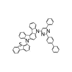 c1ccc(-c2ccc(-c3nc(-c4ccccc4)cc(-n4c5ccccc5c5c6c7ccccc7n(-c7cccc8c7sc7ccccc78)c6ccc54)n3)cc2)cc1